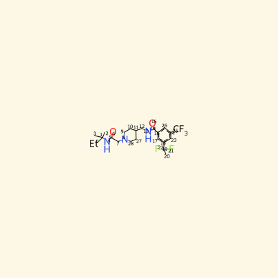 CCC(C)(C)NC(=O)CN1CCC(CNC(=O)c2cc(C(C)(F)F)cc(C(F)(F)F)c2)CC1